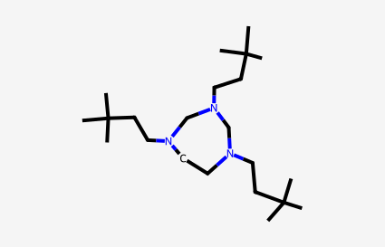 CC(C)(C)CCN1CCN(CCC(C)(C)C)CN(CCC(C)(C)C)C1